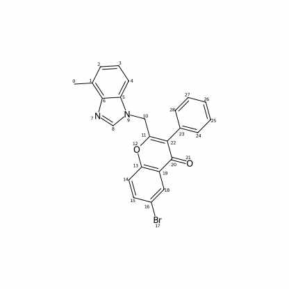 Cc1cccc2c1ncn2Cc1oc2ccc(Br)cc2c(=O)c1-c1ccccc1